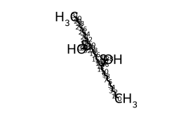 CCCCCCCCCCCCC(CCCCCCC(CCCCCCCCCCCC)CC(O)=S)CC(O)=S